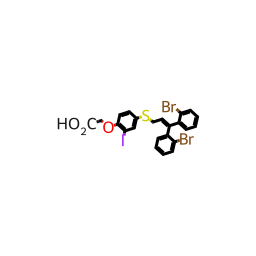 O=C(O)COc1ccc(SCC=C(c2ccccc2Br)c2ccccc2Br)cc1I